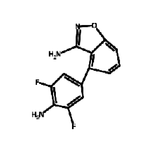 Nc1c(F)cc(-c2cccc3onc(N)c23)cc1F